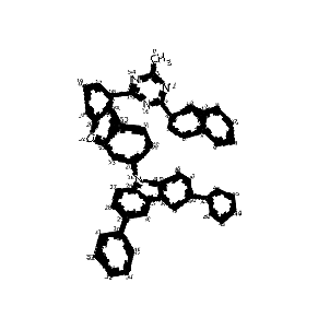 Cc1nc(-c2ccc3ccccc3c2)nc(-c2cccc3oc4cc(-n5c6ccc(-c7ccccc7)cc6c6cc(-c7ccccc7)ccc65)ccc4c23)n1